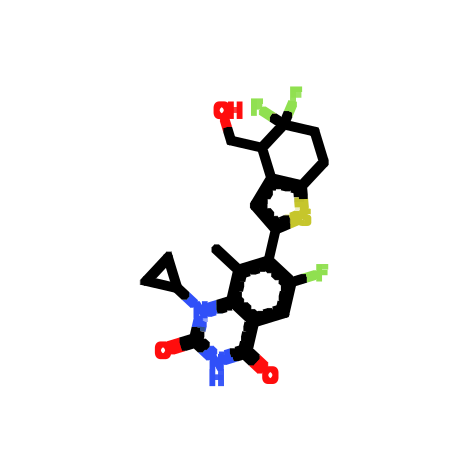 Cc1c(-c2cc3c(s2)CCC(F)(F)C3CO)c(F)cc2c(=O)[nH]c(=O)n(C3CC3)c12